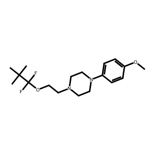 COc1ccc(N2CCN(CCOC(F)(F)C(C)(C)C)CC2)cc1